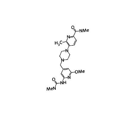 CNC(=O)Nc1cc(CN2CCN(c3ccc(C(=O)NC)nc3C)CC2)cc(OC)n1